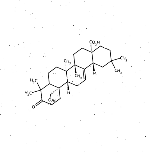 CC(=O)OC[C@]12CCC(=O)C(C)(C)C1CC[C@]1(C)[C@@H]2CC=C2[C@H]3CC(C)(C)CC[C@]3(C(=O)O)CC[C@]21C